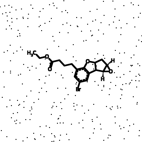 CCOC(=O)CCCc1cc(Br)cc2c1OC1C[C@H]3O[C@H]3C21